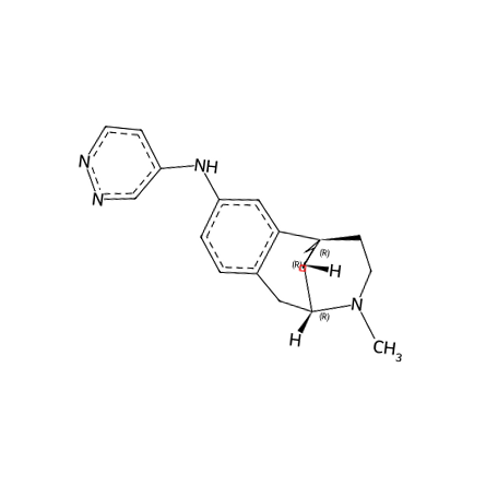 CN1CC[C@]23CCCC[C@H]2[C@H]1Cc1ccc(Nc2ccnnc2)cc13